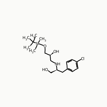 CC(C)(C)[Si](C)(C)OC[C@@H](O)CN[C@H](CO)Cc1ccc(Cl)cc1